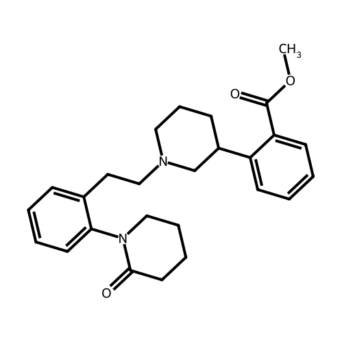 COC(=O)c1ccccc1C1CCCN(CCc2ccccc2N2CCCCC2=O)C1